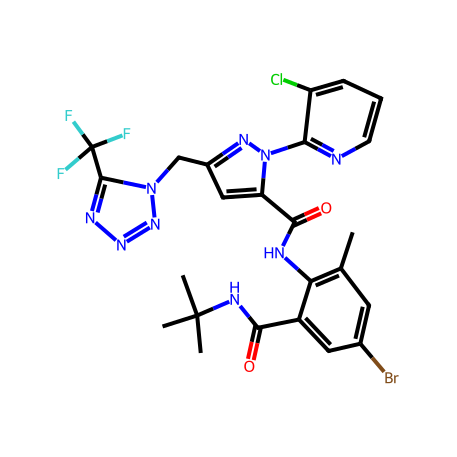 Cc1cc(Br)cc(C(=O)NC(C)(C)C)c1NC(=O)c1cc(Cn2nnnc2C(F)(F)F)nn1-c1ncccc1Cl